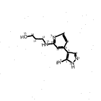 CC(C)c1[nH]ncc1-c1ccnc(NCCCO)c1